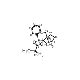 C=C(C)C(=O)OC1(C)Cc2ccccc2CC12CCCC2